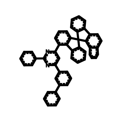 c1ccc(-c2cccc(-c3cc(-c4cccc5c4-c4ccccc4C54c5ccccc5-c5ccc6ccccc6c54)nc(-c4ccccc4)n3)c2)cc1